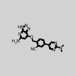 CN(C)c1ncc(-c2ccc(COc3cc(N)nc4[nH]nnc34)c(C#N)c2)cn1